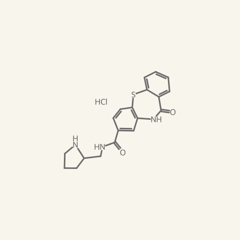 Cl.O=C(NCC1CCCN1)c1ccc2c(c1)NC(=O)c1ccccc1S2